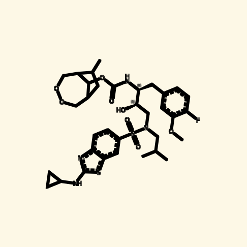 COc1cc(C[C@H](NC(=O)OC2C3COOCC2C(C)C3)[C@H](O)CN(CC(C)C)S(=O)(=O)c2ccc3nc(NC4CC4)sc3c2)ccc1F